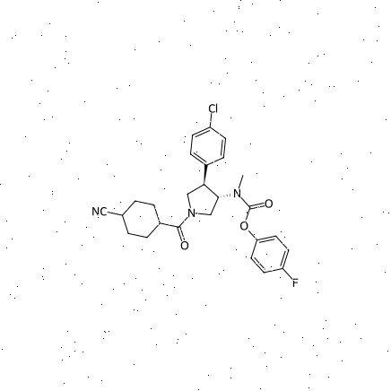 CN(C(=O)Oc1ccc(F)cc1)[C@@H]1CN(C(=O)C2CCC(C#N)CC2)C[C@H]1c1ccc(Cl)cc1